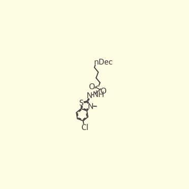 CCCCCCCCCCCCCCS(=O)(=O)N/N=c1/sc2ccc(Cl)cc2n1C